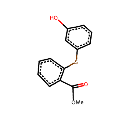 COC(=O)c1ccccc1Sc1cccc(O)c1